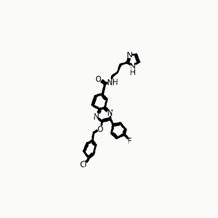 O=C(NCCCc1ncc[nH]1)c1ccc2nc(OCc3ccc(Cl)cc3)c(-c3ccc(F)cc3)nc2c1